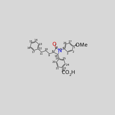 COc1ccc(N2C(=O)C(CCCc3ccccc3)C2c2ccc(C(=O)O)cc2)cc1